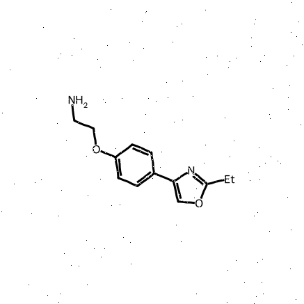 CCc1nc(-c2ccc(OCCN)cc2)co1